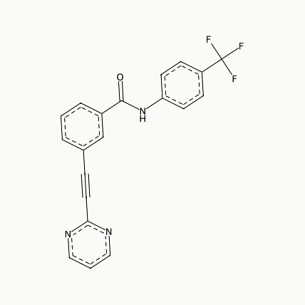 O=C(Nc1ccc(C(F)(F)F)cc1)c1cccc(C#Cc2ncccn2)c1